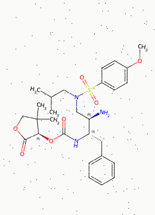 COc1ccc(S(=O)(=O)N(CC(C)C)C[C@@H](N)[C@H](Cc2ccccc2)NC(=O)O[C@H]2C(=O)OCC2(C)C)cc1